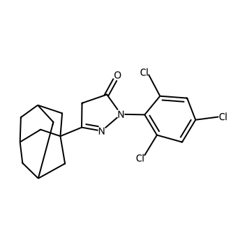 O=C1CC(C23CC4CC(CC(C4)C2)C3)=NN1c1c(Cl)cc(Cl)cc1Cl